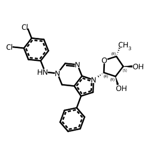 C[C@H]1O[C@@H](n2cc(-c3ccccc3)c3c2N=CN(Nc2ccc(Cl)c(Cl)c2)C3)[C@H](O)[C@@H]1O